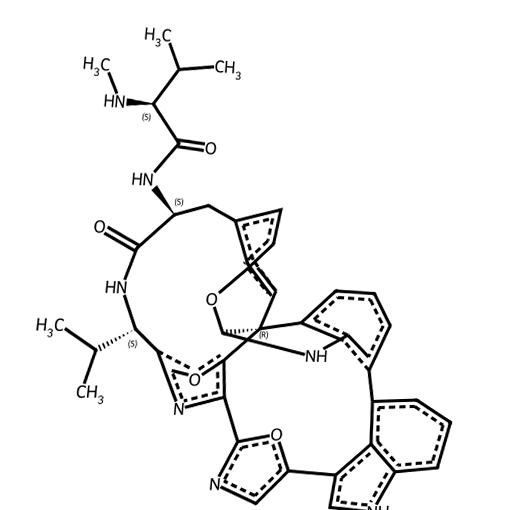 CN[C@H](C(=O)N[C@H]1Cc2ccc3c(c2)[C@]24c5cccc(c5NC2O3)-c2cccc3[nH]cc(c23)-c2cnc(o2)-c2nc(oc24)[C@H](C(C)C)NC1=O)C(C)C